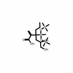 C=C(C(=O)O)C(CCC)(CC(O)CO)[Si](C)(O[Si](C)(C)C)O[Si](C)(C)C